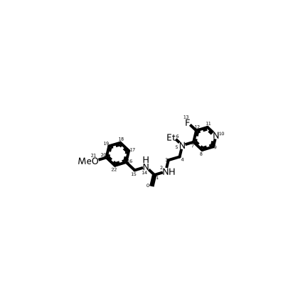 C=C(NCCN(CC)c1ccncc1F)NCc1cccc(OC)c1